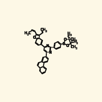 C=Cc1c(/C=C\C)oc2ccc(-c3cc(-c4ccc5c(ccc6ccccc65)c4)nc(-c4ccc(B5OC(C)(C)C(C)(C)O5)cc4)n3)cc12